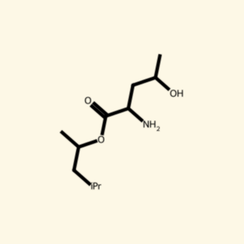 CC(C)CC(C)OC(=O)C(N)CC(C)O